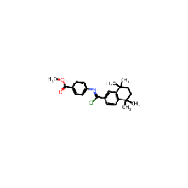 COC(=O)c1ccc(N=C(Cl)c2ccc3c(c2)C(C)(C)CCC3(C)C)cc1